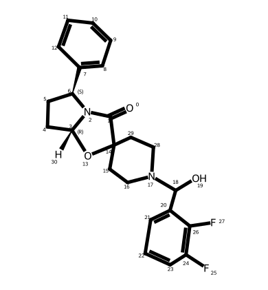 O=C1N2[C@@H](CC[C@H]2c2ccccc2)OC12CCN(C(O)c1cccc(F)c1F)CC2